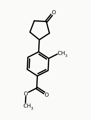 COC(=O)c1ccc(C2CCC(=O)C2)c(C)c1